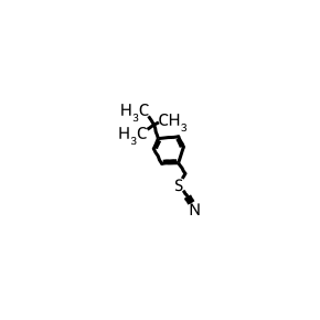 CC(C)(C)c1ccc(CSC#N)cc1